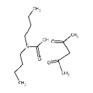 CC(=O)CC(C)=O.CCCCN(CCCC)C(=O)O